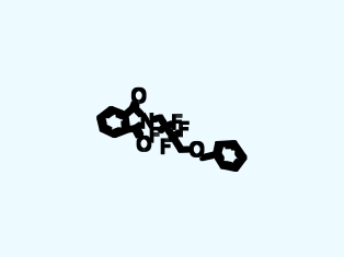 O=C1c2ccccc2C(=O)N1CC(F)(F)C(F)(F)COCc1ccccc1